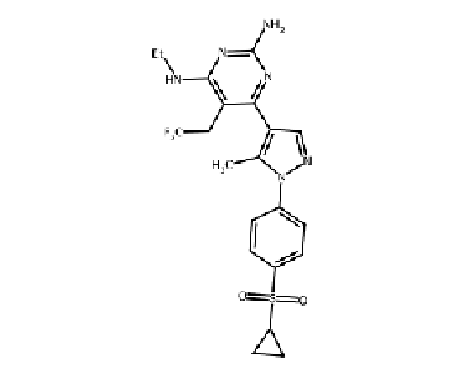 CCNc1nc(N)nc(-c2cnn(-c3ccc(S(=O)(=O)C4CC4)cc3)c2C)c1CC(F)(F)F